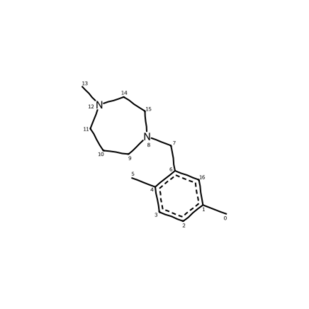 Cc1ccc(C)c(CN2CCCN(C)CC2)c1